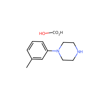 Cc1cccc(N2CCNCC2)c1.O=C(O)O